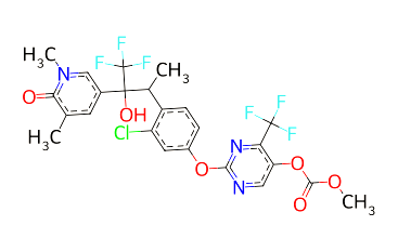 COC(=O)Oc1cnc(Oc2ccc(C(C)C(O)(c3cc(C)c(=O)n(C)c3)C(F)(F)F)c(Cl)c2)nc1C(F)(F)F